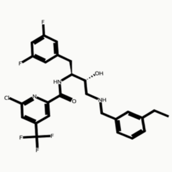 CCc1cccc(CNC[C@@H](O)[C@H](Cc2cc(F)cc(F)c2)NC(=O)c2cc(C(F)(F)F)cc(Cl)n2)c1